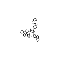 CC1(C)c2ccccc2-c2ccc(-c3cc(-c4ccc5c(c4)oc4ccccc45)nc(-c4ccc5oc6c7ccccc7ccc6c5c4)n3)cc21